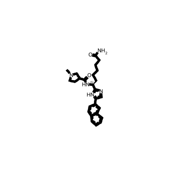 CN1CCC(C(=O)N[C@@H](CCCCCC(N)=O)c2ncc(-c3ccc4ccccc4c3)[nH]2)C1